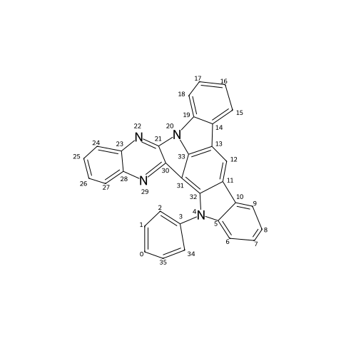 c1ccc(-n2c3ccccc3c3cc4c5ccccc5n5c6nc7ccccc7nc6c(c32)c45)cc1